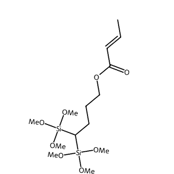 CC=CC(=O)OCCCC([Si](OC)(OC)OC)[Si](OC)(OC)OC